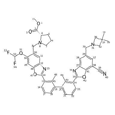 COC(=O)[C@@H]1CCCN1Cc1cc2nc(-c3cccc(-c4cccc(-c5nc6cc(CN7CC(C)(C)C7)cc(C#N)c6o5)c4C)c3C)oc2cc1OC(F)F